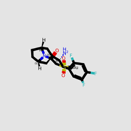 CC(C)(C)S(=O)(=O)CC(=O)N1[C@@H]2CC[C@H]1C[C@H]([C@H](N)Cc1cc(F)c(F)cc1F)C2